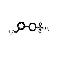 CCc1cccc(C2CCN(S(C)(=O)=O)CC2)c1